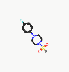 CCS(=O)(=O)N1CCN(c2ccc(F)cc2)CC1